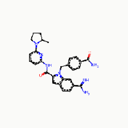 CC1CCCN1c1cccc(NC(=O)c2cc3ccc(C(=N)N)cc3n2Cc2ccc(C(N)=O)cc2)n1